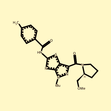 COC[C@@H]1CCCN1C(=O)c1nn(C(C)(C)C)c2nc(NC(=O)c3ccc(C)cc3)sc12